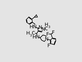 CC(NC1CCN(c2c(F)cccc2C(F)F)CC1)c1cn(C)nc1NCc1ccccc1C1CC1